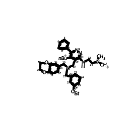 CCCCc1c(-c2ccccc2)nnc(NCCN(C)C)c1CN(Cc1cccc(OCC)c1)Cc1ccc2c(c1)OCCO2